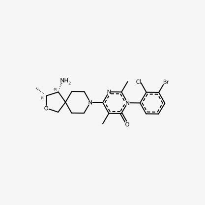 Cc1c(N2CCC3(CC2)CO[C@H](C)[C@@H]3N)nc(C)n(-c2cccc(Br)c2Cl)c1=O